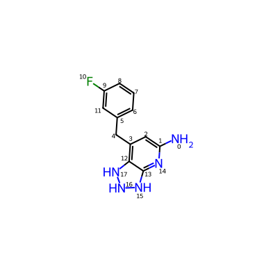 Nc1cc(Cc2cccc(F)c2)c2c(n1)NNN2